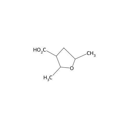 CC1CC(C(=O)O)C(C)O1